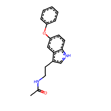 CC(=O)NCCc1c[nH]c2ccc(Oc3ccccc3)cc12